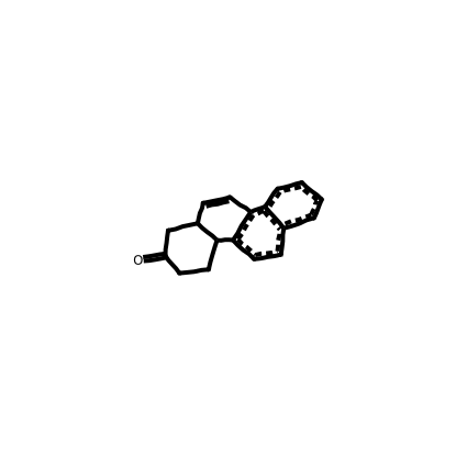 O=C1CCC2c3ccc4ccccc4c3C=CC2C1